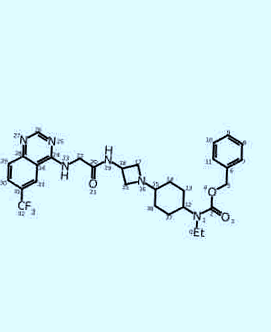 CCN(C(=O)OCc1ccccc1)C1CCC(N2CC(NC(=O)CNc3ncnc4ccc(C(F)(F)F)cc34)C2)CC1